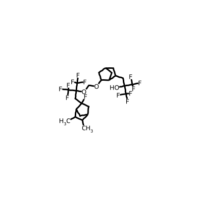 CC1C2CC(C1C)C(F)(CC(OCOC1CC3CC(CC(O)(C(F)(F)F)C(F)(F)F)C1C3)(C(F)(F)F)C(F)(F)F)C2